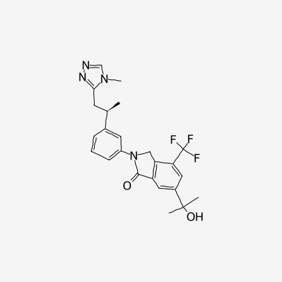 C[C@H](Cc1nncn1C)c1cccc(N2Cc3c(cc(C(C)(C)O)cc3C(F)(F)F)C2=O)c1